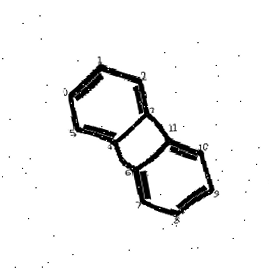 [c]1ccc2c(c1)-c1c[c]ccc1-2